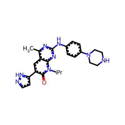 Cc1nc(Nc2ccc(N3CCNCC3)cc2)nc2c1cc(-c1ccn[nH]1)c(=O)n2C(C)C